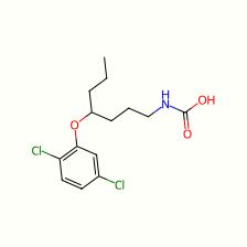 CCCC(CCCNC(=O)O)Oc1cc(Cl)ccc1Cl